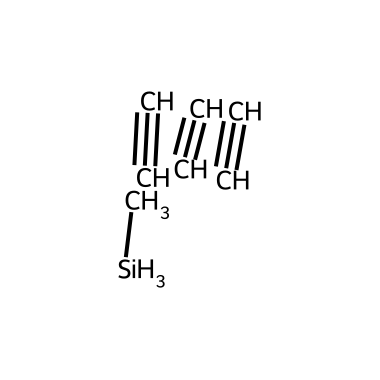 C#C.C#C.C#C.C[SiH3]